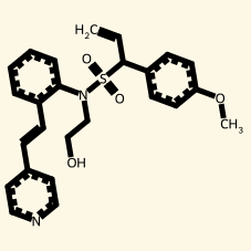 C=CC(c1ccc(OC)cc1)S(=O)(=O)N(CCO)c1ccccc1C=Cc1ccncc1